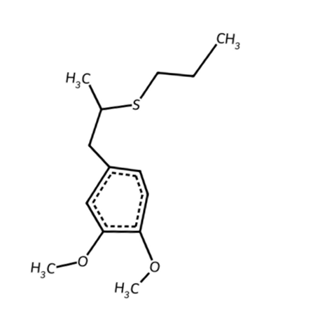 CCCSC(C)Cc1ccc(OC)c(OC)c1